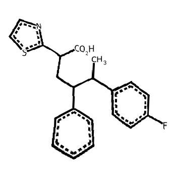 CC(c1ccc(F)cc1)C(CC(C(=O)O)c1nccs1)c1ccccc1